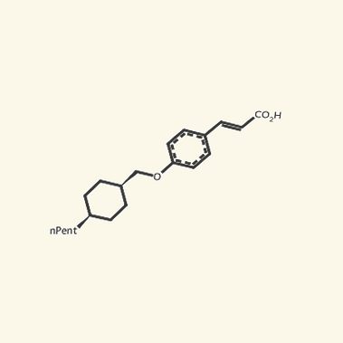 CCCCC[C@H]1CC[C@@H](COc2ccc(C=CC(=O)O)cc2)CC1